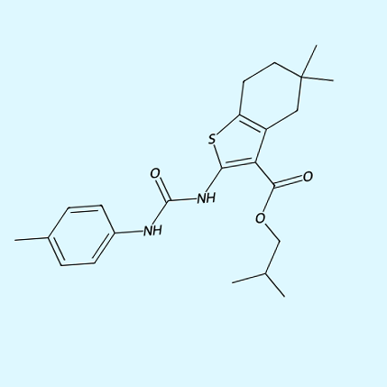 Cc1ccc(NC(=O)Nc2sc3c(c2C(=O)OCC(C)C)CC(C)(C)CC3)cc1